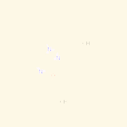 CCCCOc1nccc2c1nc(CCCC)n2Cc1ccccc1